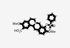 COc1cc2c(cc1C(=O)O)C1Cc3ccc(OC)c(OS(=O)(=O)c4ccccc4)c3CN1CC2